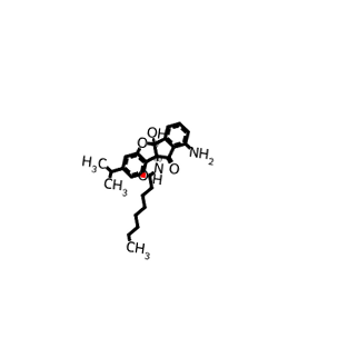 CCCCCCCC(=O)N[C@@]12C(=O)c3c(N)cccc3[C@@]1(O)Oc1cc(C(C)C)ccc12